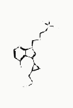 COCC1CC1c1cn(COCC[Si](C)(C)C)c2nccc(Br)c12